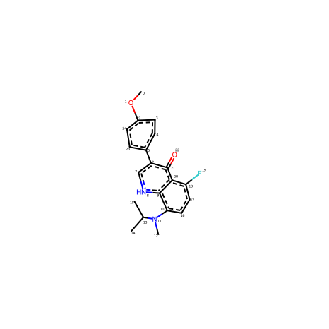 COc1ccc(-c2c[nH]c3c(N(C)C(C)C)ccc(F)c3c2=O)cc1